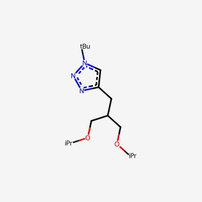 CC(C)OCC(COC(C)C)Cc1cn(C(C)(C)C)nn1